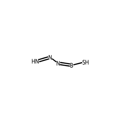 N=NN=BS